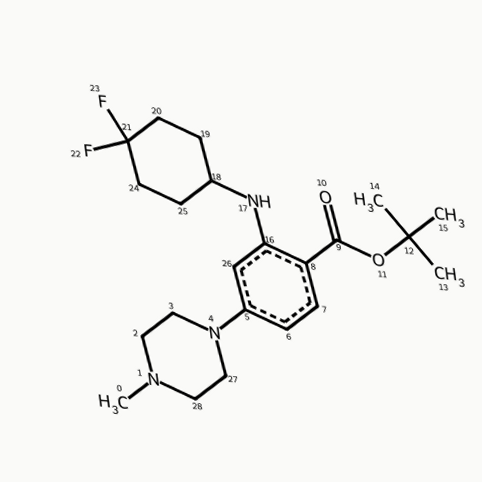 CN1CCN(c2ccc(C(=O)OC(C)(C)C)c(NC3CCC(F)(F)CC3)c2)CC1